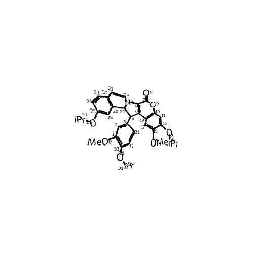 COc1cc(C2c3c(c(=O)oc4cc(OC(C)C)c(OC)cc34)N3C=Cc4ccc(OC(C)C)cc4C23)ccc1OC(C)C